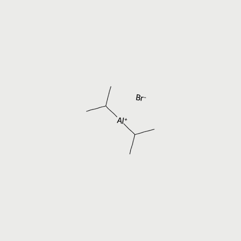 C[CH](C)[Al+][CH](C)C.[Br-]